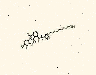 CC(C)(Nc1cccc2c1C(=O)N(C1CCC(=O)NC1=O)C2=O)c1cn(CCCCCCCCCO)nn1